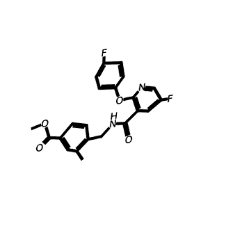 COC(=O)c1ccc(CNC(=O)c2cc(F)cnc2Oc2ccc(F)cc2)c(C)c1